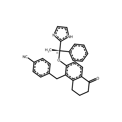 C[C@](Oc1ccc2c(c1Cc1ccc(C#N)cc1)CCCC2=O)(c1ccccc1)c1ncc[nH]1